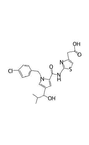 CC(C)C(O)c1cc(C(=O)Nc2nc(CC(=O)O)cs2)n(Cc2ccc(Cl)cc2)c1